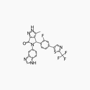 Cc1[nH]nc2c1C(c1ccc(-c3cnc(C(F)(F)F)s3)cc1F)N(c1ccc3[nH]cnc3c1)C2=O